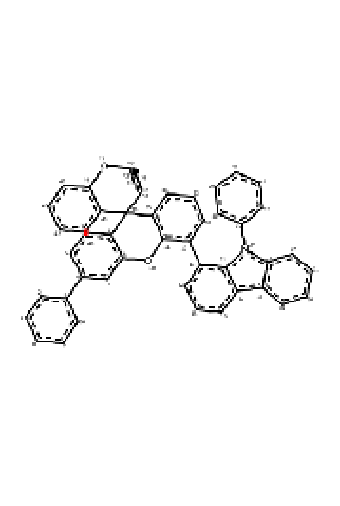 c1ccc(-c2ccc3c(c2)Oc2c(-c4cccc5c6ccccc6n(-c6ccccc6)c45)cccc2C32c3ccccc3Oc3ccccc32)cc1